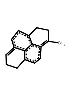 BC1=c2ccc3c4c(ccc(c24)CC1)=CCC3